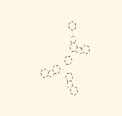 c1ccc(-c2nc3c(cc(-c4ccc(N(c5ccc6c(c5)sc5ccccc56)c5ccc6c(c5)sc5ccccc56)cc4)c4oc5ccccc5c43)o2)cc1